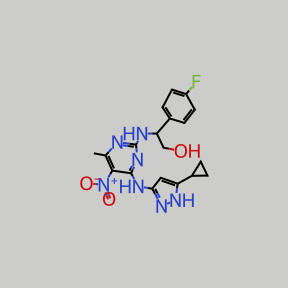 Cc1nc(NC(CO)c2ccc(F)cc2)nc(Nc2cc(C3CC3)[nH]n2)c1[N+](=O)[O-]